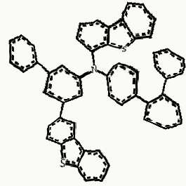 c1ccc(-c2cc(-c3ccc4sc5ccccc5c4c3)cc(N(c3ccc(-c4ccccc4-c4ccccc4)cc3)c3cccc4c3sc3ccccc34)c2)cc1